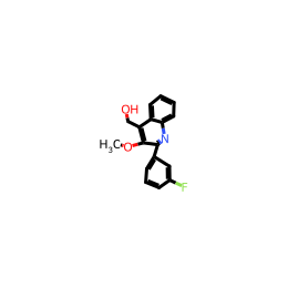 COc1c(-c2cccc(F)c2)nc2ccccc2c1CO